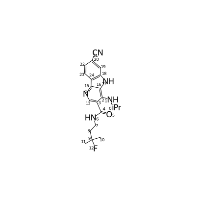 CC(C)Nc1c(C(=O)NCCC(C)(C)F)cnc2c1[nH]c1cc(C#N)ccc12